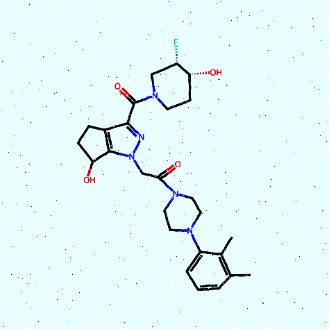 Cc1cccc(N2CCN(C(=O)Cn3nc(C(=O)N4CC[C@@H](O)[C@@H](F)C4)c4c3C(O)CC4)CC2)c1C